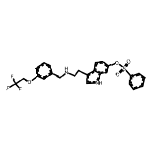 O=S(=O)(Oc1ccc2c(CCNCc3cccc(OCC(F)(F)F)c3)c[nH]c2c1)c1ccccc1